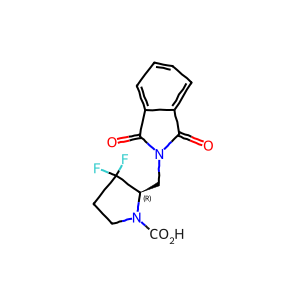 O=C1c2ccccc2C(=O)N1C[C@H]1N(C(=O)O)CCC1(F)F